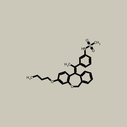 CCCCOc1ccc2c(c1)OCc1ccccc1/C2=C(/C)c1cccc(NS(C)(=O)=O)c1